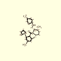 Cc1cc(F)c(C(=O)N2CCC[C@@H](C)[C@H]2CNc2ccc(C(F)(F)F)cn2)c(-n2nccn2)c1